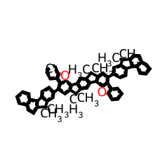 CC1(C)c2cc(-c3cc4c(c5oc6ccccc6c35)-c3cc5c(cc3C4(C)C)-c3c(cc(-c4ccc6c(c4)C(C)(C)c4ccc7ccccc7c4-6)c4c3oc3ccccc34)C5(C)C)ccc2-c2c1ccc1ccccc21